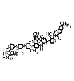 C=CC(=O)Nc1cc(Nc2nc(-c3ccnc(N4CCn5c(cc6c5CC(C)(C)C6)C4=O)c3CO)cn(C)c2=O)ccc1N1CCN(C2CCN(c3ccnc(C(C)(C)NP(=O)(O)O)c3)[C@H](C)C2)C[C@@H]1C